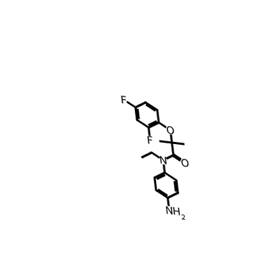 CCN(C(=O)C(C)(C)Oc1ccc(F)cc1F)c1ccc(N)cc1